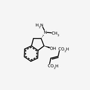 CN(N)[C@H]1Cc2ccccc2[C@@H]1O.O=C(O)C=CC(=O)O